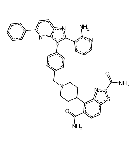 NC(=O)c1nc2c(C3CCN(Cc4ccc(-n5c(-c6cccnc6N)nc6ccc(-c7ccccc7)nc65)cc4)CC3)c(C(N)=O)ccc2s1